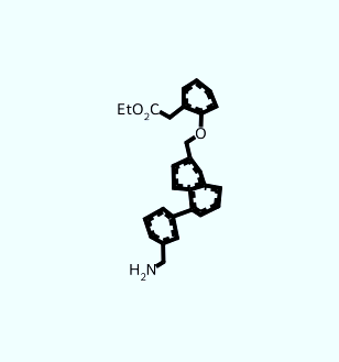 CCOC(=O)Cc1ccccc1OCc1ccc2c(-c3cccc(CN)c3)cccc2c1